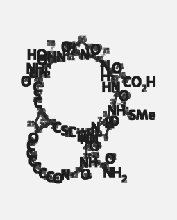 CSCC[C@@H]1NC(=O)[C@@H]2CCCN2C(=O)[C@@H]2CSCc3cc(cc(c3)OCCCCCCO/N=C/C(=O)NC(CCC(N)=O)C(=O)N2)CSC[C@@H](C(N)=O)NC(=O)[C@H]([C@@H](C)O)NC(=O)[C@@H]2CCCN2C(=O)[C@H](C)NC(=O)[C@H](CC(=O)O)NC1=O